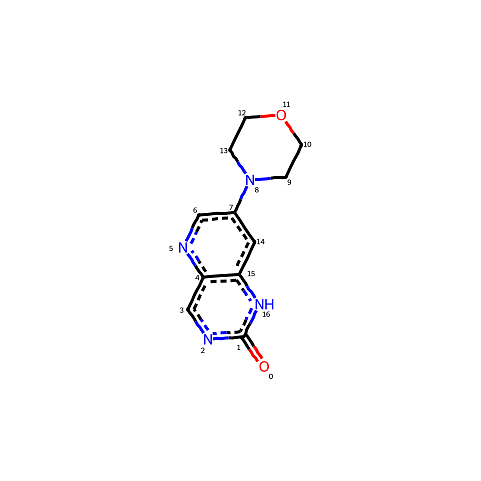 O=c1ncc2ncc(N3CCOCC3)cc2[nH]1